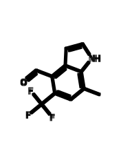 Cc1cc(C(F)(F)F)c(C=O)c2cc[nH]c12